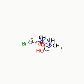 CN1CC[C@]23c4c5ccc(O)c4O[C@H]2[C@H](N(C)C(=O)/C=C/c2cc(Br)cs2)CC[C@H]3[C@H]1C5